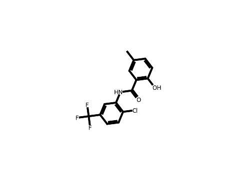 Cc1ccc(O)c(C(=O)Nc2cc(C(F)(F)F)ccc2Cl)c1